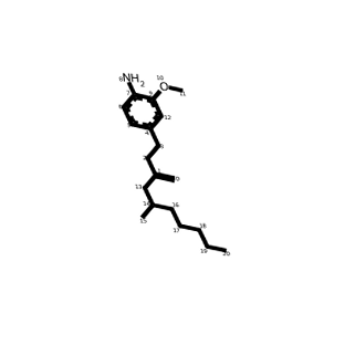 C=C(CCc1ccc(N)c(OC)c1)CC(C)CCCCC